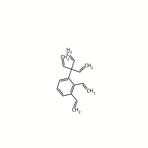 C=Cc1cccc(C(C=C)(C=C)C=C)c1C=C